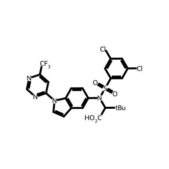 CC(C)(C)C(C(=O)O)N(c1ccc2c(ccn2-c2cc(C(F)(F)F)ncn2)c1)S(=O)(=O)c1cc(Cl)cc(Cl)c1